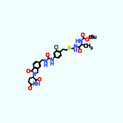 CC(NC(=O)OC(C)(C)C)C(=O)NCSCCc1ccc(NC(=O)NCc2ccc3c(c2)CN(C2CCC(=O)NC2=O)C3=O)cc1Cl